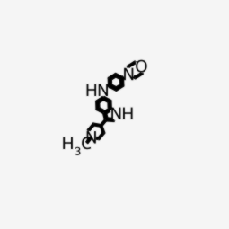 CN1CCC(c2c[nH]c3cc(Nc4ccc(N5CCOCC5)cc4)ccc23)CC1